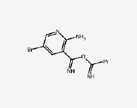 CC(C)C(=N)OC(=N)c1cc(Br)cnc1N